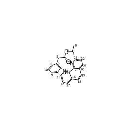 CCOC(=O)Cc1ccccc1.c1cnc2c(c1)ccc1cccnc12